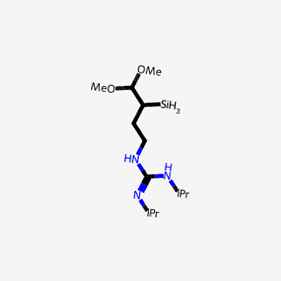 COC(OC)C([SiH3])CCNC(=NC(C)C)NC(C)C